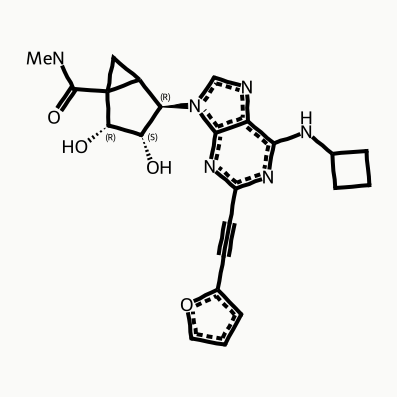 CNC(=O)C12CC1[C@@H](n1cnc3c(NC4CCC4)nc(C#Cc4ccco4)nc31)[C@H](O)[C@@H]2O